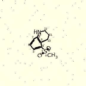 CS(=O)(=O)c1cccc2c1CCCN2